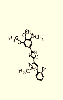 COc1cc(-c2noc(-c3cn(-c4ccccc4Br)c(C)n3)n2)cc(OC)c1OC